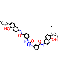 O=C(Nc1cccc(C(=O)N=C2C=CC3C(=CC=C(S(=O)(=O)O)C3O)C2)c1)Nc1cccc(C(=O)N=C2C=CC3C(=CC=C(S(=O)(=O)O)C3O)C2)c1